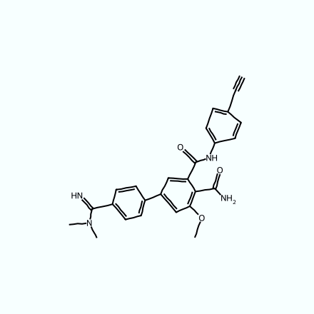 C#Cc1ccc(NC(=O)c2cc(-c3ccc(C(=N)N(C)C)cc3)cc(OC)c2C(N)=O)cc1